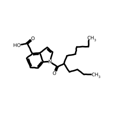 CCCCCC(CCCC)C(=O)n1ccc2c(C(=O)O)cccc21